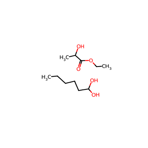 CCCCCC(O)O.CCOC(=O)C(C)O